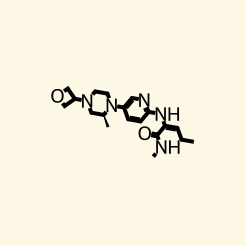 CC/C=C(/Nc1ccc(N2CCN(C3COC3)C[C@@H]2C)cn1)C(=O)NC